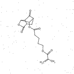 C=C(C)C(=O)OCCCCC(=O)OC1C2CC3C(=O)OC1C3C2=O